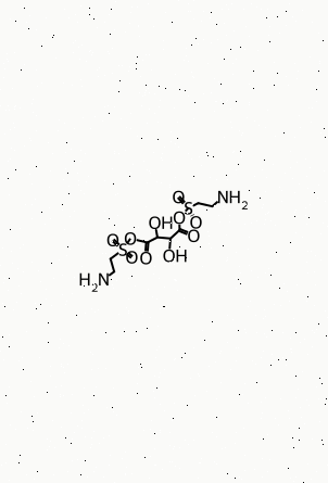 NCCS(=O)(=O)OC(=O)C(O)C(O)C(=O)OS(=O)(=O)CCN